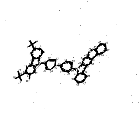 CC(C)(C)c1ccc2c(c1)c1cc(C(C)(C)C)c(I)cc1n2C1=CCC(c2ccc(-n3c4ccccc4c4cc5c(cc43)sc3ccccc35)cc2)C=C1